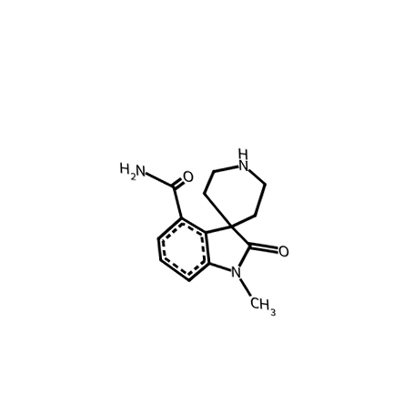 CN1C(=O)C2(CCNCC2)c2c(C(N)=O)cccc21